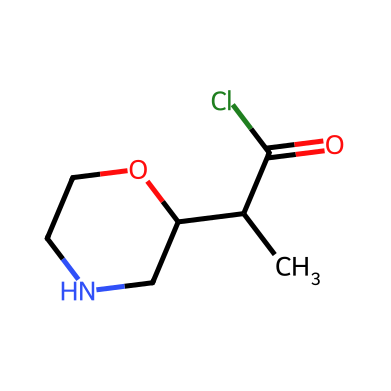 CC(C(=O)Cl)C1CNCCO1